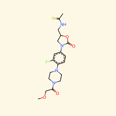 COCC(=O)N1CCN(c2ccc(N3CC(CNC(C)=S)OC3=O)cc2F)CC1